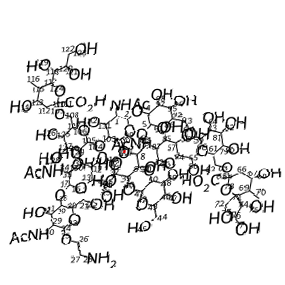 CC(=O)NC1C(OC2C(OCC3OC(OC4C(CO)OC(OC5C(CO)OC(OCCN)C(NC(C)=O)C5O)C(NC(C)=O)C4O)C(O)C(OC4OC(CO)C(O)C(O)C4OC4OC(CO)C(OC5OC(COC6(C(=O)O)CC(O)C(C)C(CO)([C@H](O)CO)O6)C(O)C(O)C5O)C(O)C4NC(C)=O)C3O)OC(CO)C(O)C2O)OC(CO)C(OC2OC(COC3(C(=O)O)CC(O)C(C)C([C@H](O)[C@H](O)CO)O3)C(O)C(O)C2O)C1O